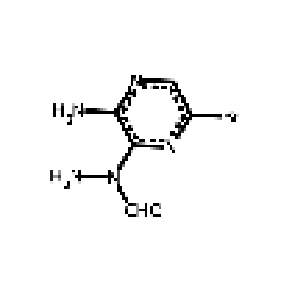 Nc1ncc(Br)nc1N(N)C=O